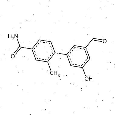 Cc1cc(C(N)=O)ccc1-c1cc(O)cc(C=O)c1